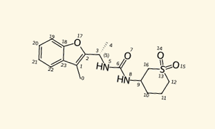 Cc1c([C@H](C)NC(=O)NC2CCCS(=O)(=O)C2)oc2ccccc12